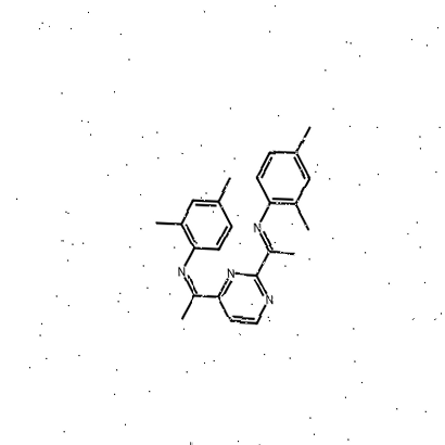 CC(=Nc1ccc(C)cc1C)c1ccnc(C(C)=Nc2ccc(C)cc2C)n1